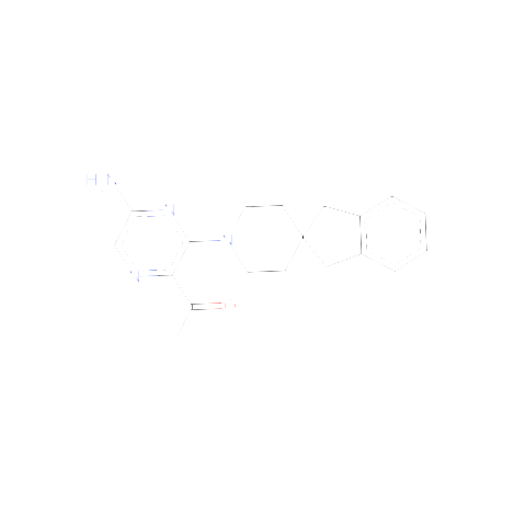 CC(=O)c1ncc(N)nc1N1CCC2(CC1)Cc1ccccc1C2